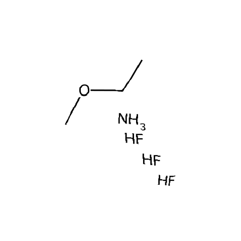 CCOC.F.F.F.N